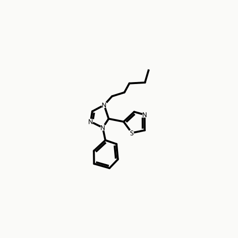 CCCCCN1C=NN(c2ccccc2)C1c1cncs1